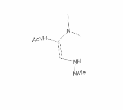 CNN/C=C(/NC(C)=O)N(C)C